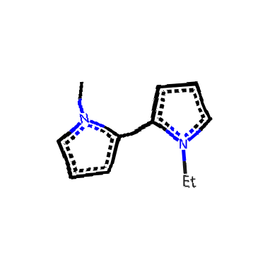 CCn1cccc1-c1cccn1C